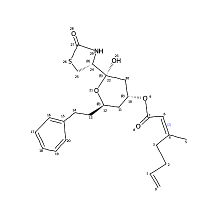 C=CCC/C(C)=C\C(=O)O[C@@H]1C[C@@H](CCc2ccccc2)O[C@@](O)([C@@H]2CSC(=O)N2)C1